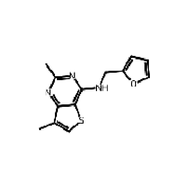 Cc1nc(NCc2ccco2)c2scc(C)c2n1